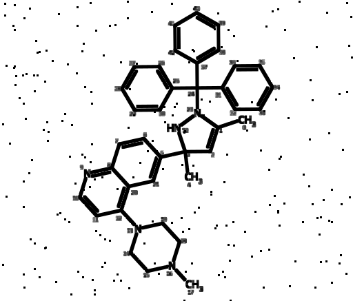 CC1=CC(C)(c2ccc3nccc(N4CCN(C)CC4)c3c2)NN1C(c1ccccc1)(c1ccccc1)c1ccccc1